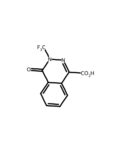 O=C(O)c1nn(C(F)(F)F)c(=O)c2ccccc12